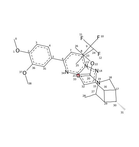 COc1ccc(-c2cc(C(F)(F)F)n3nc(C4C5CN(C(=O)OC(C)(C)C)C(C)C4[C@H]5C)cc3n2)cc1OC